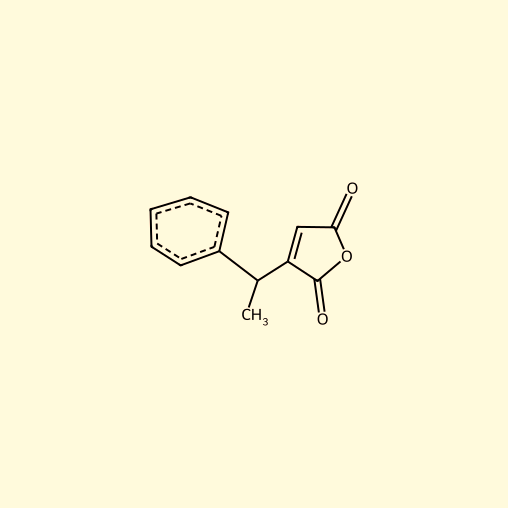 CC(C1=CC(=O)OC1=O)c1ccccc1